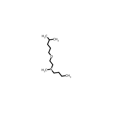 CCCCN(C)CCOCCCC(C)C